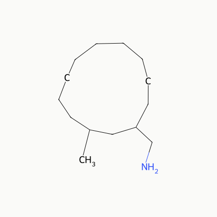 CC1CCCCCCCCCC(CN)C1